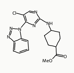 COC(=O)C1CCC(Nc2ncc(Cl)c(-n3nnc4ccccc43)n2)CC1